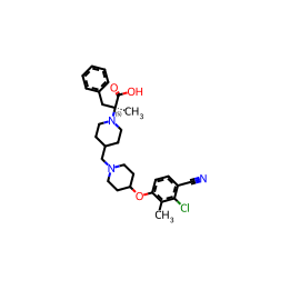 Cc1c(OC2CCN(CC3CCN([C@@](C)(Cc4ccccc4)C(=O)O)CC3)CC2)ccc(C#N)c1Cl